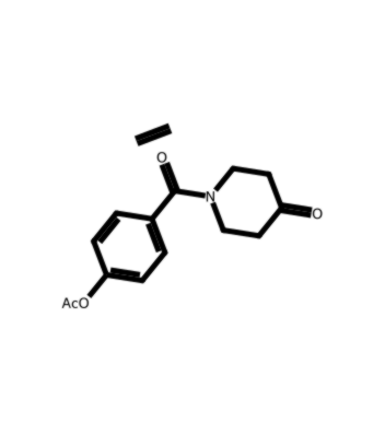 C=C.CC(=O)Oc1ccc(C(=O)N2CCC(=O)CC2)cc1